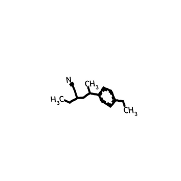 CCc1ccc(C(C)CC(C#N)CC)cc1